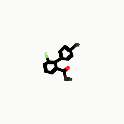 COC(=O)c1cccc(F)c1-c1ccc(C(C)C)cc1